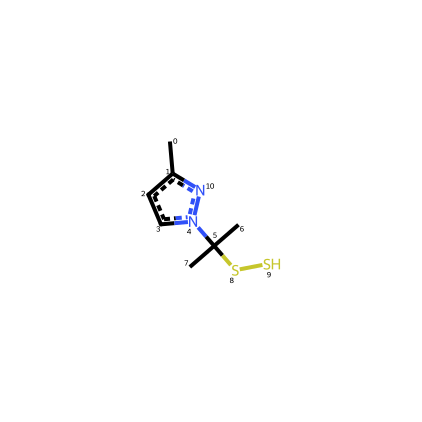 Cc1ccn(C(C)(C)SS)n1